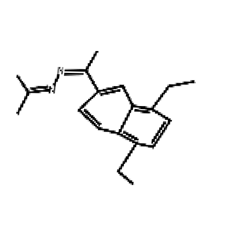 CCc1ccc(CC)c2cc(/C(C)=N\N=C(C)C)ccc12